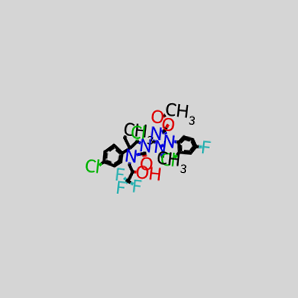 CCC1(c2ccc(Cl)cc2)C(Cl)N([C@@H]2N=C(OC(C)=O)N(c3ccc(F)cc3Cl)N2C)C(=O)N1CC(O)C(F)(F)F